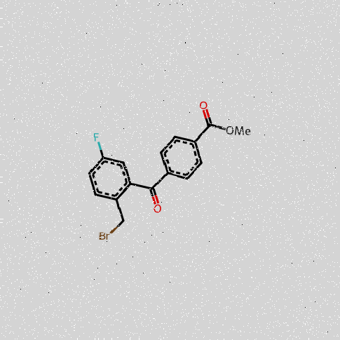 COC(=O)c1ccc(C(=O)c2cc(F)ccc2CBr)cc1